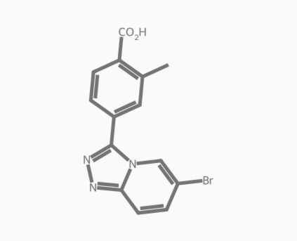 Cc1cc(-c2nnc3ccc(Br)cn23)ccc1C(=O)O